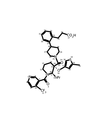 CCC[C@H]1N(C(=O)c2cnccc2C(F)(F)F)CCC[C@@]1(Oc1csc(C)c1)C(=O)N1CCC(c2ccccc2CCC(=O)O)CC1